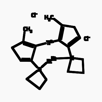 CC[Si]1(C2=CCC(C)=[C]2[Ti+2][C]2=C(C)CC=C2[Si]2(CC)CCC2)CCC1.[Cl-].[Cl-]